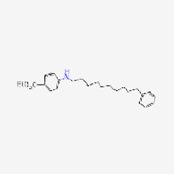 CCOC(=O)c1ccc(NCCCCCCCCCCc2ccccc2)cc1